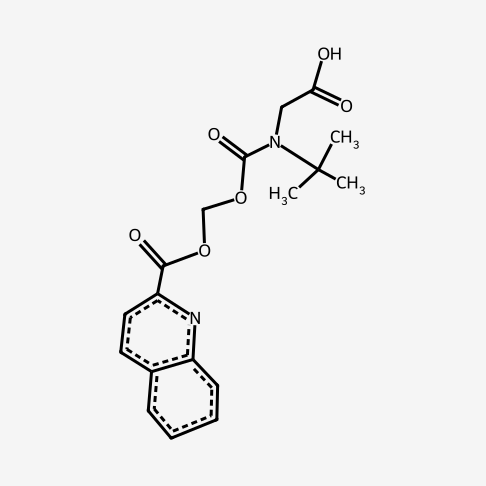 CC(C)(C)N(CC(=O)O)C(=O)OCOC(=O)c1ccc2ccccc2n1